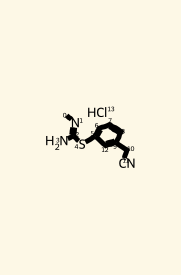 CN=C(N)Sc1cccc(CC#N)c1.Cl